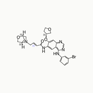 O=C(/C=C/CN1C[C@@H]2C[C@H]1CO2)Nc1cc2c(Nc3cccc(Br)c3)ncnc2cc1O[C@H]1CCOC1